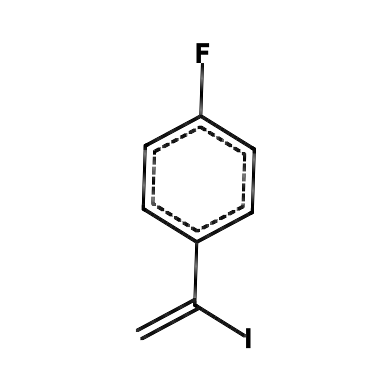 C=C(I)c1ccc(F)cc1